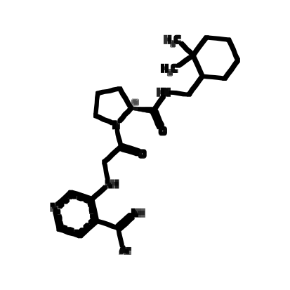 CC(=O)C(=N)c1ccncc1NCC(=O)N1CCC[C@H]1C(=O)NCC1CCCCC1(C)C